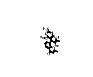 CC(=O)C1=C(C)Nc2nc(N)nc(OC(C)C)c2C1c1cccc2c(=O)cc(C)oc12